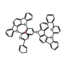 C1=CC(c2cccc(-n3c4ccccc4c4ccc5c6ccccc6n(-c6cccc(-n7c8ccccc8c8c7ccc7c9ccccc9n(-c9cccc(-c%10ccccc%10)n9)c78)c6)c5c43)n2)=CCC1